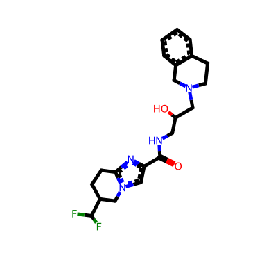 O=C(NCC(O)CN1CCc2ccccc2C1)c1cn2c(n1)CCC(C(F)F)C2